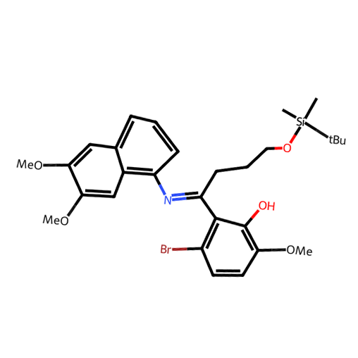 COc1cc2cccc(N=C(CCCO[Si](C)(C)C(C)(C)C)c3c(Br)ccc(OC)c3O)c2cc1OC